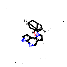 OC12CC3C[C@H](C1)[C@@H](n1ccc4cnc5[nH]ccc5c41)[C@@H](C3)C2